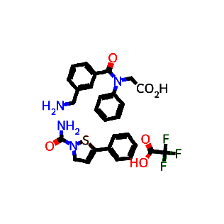 NC(=O)N1CC=C(c2ccccc2)S1.NCc1cccc(C(=O)N(CC(=O)O)c2ccccc2)c1.O=C(O)C(F)(F)F